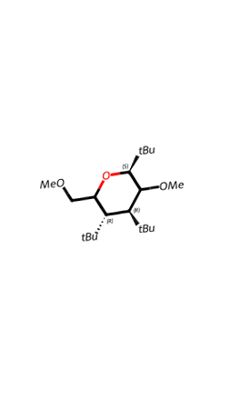 COCC1O[C@@H](C(C)(C)C)C(OC)[C@@H](C(C)(C)C)[C@@H]1C(C)(C)C